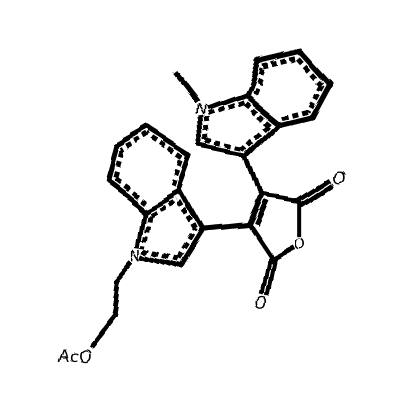 CC(=O)OCCn1cc(C2=C(c3cn(C)c4ccccc34)C(=O)OC2=O)c2ccccc21